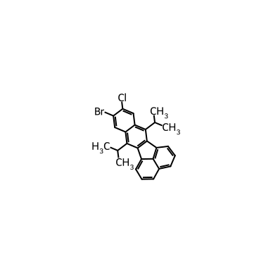 CC(C)c1c2c(c(C(C)C)c3cc(Br)c(Cl)cc13)-c1cccc3cccc-2c13